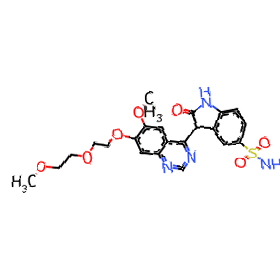 COCCOCCOc1cc2ncnc(C3C(=O)Nc4ccc(S(N)(=O)=O)cc43)c2cc1OC